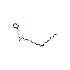 CCCCCCCC/C=C\CCCCCCCCCN(C)CCSSc1ccccn1